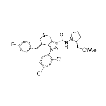 COC[C@@H]1CCCN1NC(=O)c1nn(-c2ccc(Cl)cc2Cl)c2c1CSC/C2=C\c1ccc(F)cc1